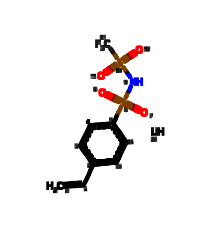 C=Cc1ccc(S(=O)(=O)NS(=O)(=O)C(F)(F)F)cc1.[LiH]